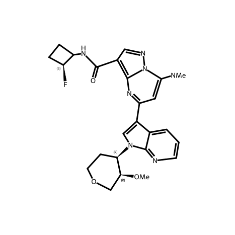 CNc1cc(-c2cn([C@@H]3CCOC[C@@H]3OC)c3ncccc23)nc2c(C(=O)NC3CC[C@@H]3F)cnn12